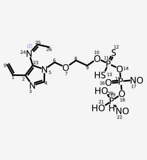 C=Cc1ncn(COCCOP(=S)(S)OP(=O)(N=O)O[PH](O)(O)N=O)c1/N=C\C